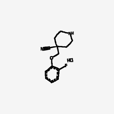 Cl.N#CC1(COc2ccccc2F)CCNCC1